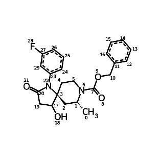 C[C@@H]1C[C@@]2(CCN1C(=O)OCc1ccccc1)C(O)CC(=O)N2c1cccc(F)c1